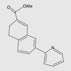 COC(=O)C1=Cc2cc(-c3ccccn3)ccc2CC1